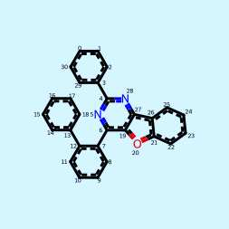 c1ccc(-c2nc(-c3ccccc3-c3ccccc3)c3oc4ccccc4c3n2)cc1